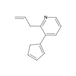 C=CCc1ncccc1C1=CC=CC1